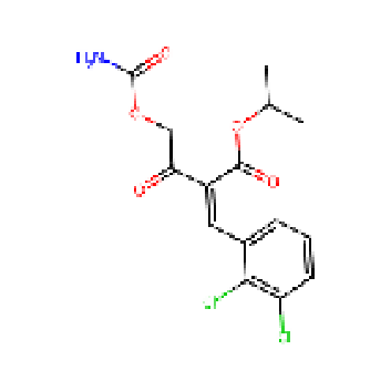 CC(C)OC(=O)C(=Cc1cccc(Cl)c1Cl)C(=O)COC(N)=O